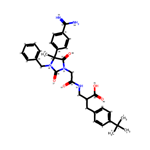 CC(C)(C)c1ccc(CC(CNC(=O)CN2C(=O)N(Cc3ccccc3)C(C)(c3ccc(C(=N)N)cc3)C2=O)C(=O)O)cc1